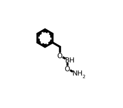 NOBOCc1ccccc1